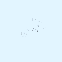 CCCCCC(C#N)(C#N)OO.CCCCCC(C#N)(C#N)OO.O=C(O)O.O=C(O)O